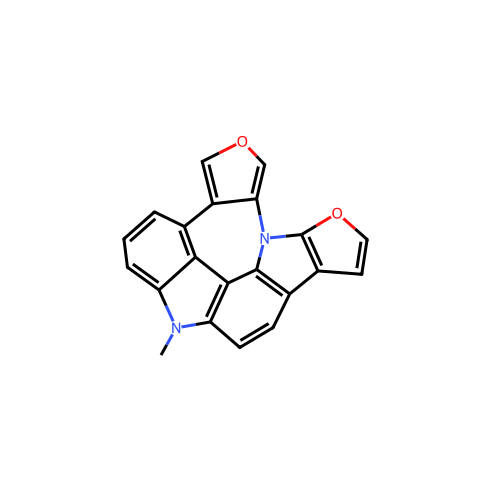 Cn1c2cccc3c4cocc4n4c5occc5c5ccc1c(c32)c54